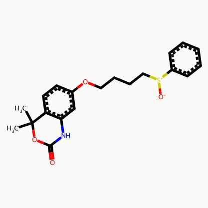 CC1(C)OC(=O)Nc2cc(OCCCC[S+]([O-])c3ccccc3)ccc21